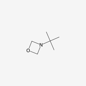 CC(C)(C)N1COC1